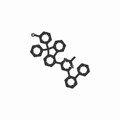 Cc1nc(-c2ccccc2-c2ccccc2)cc(-c2cccc3c2-c2ccccc2C3(c2ccccc2)c2cccc(Cl)c2)n1